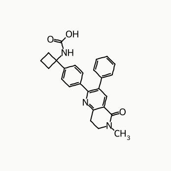 CN1CCc2nc(-c3ccc(C4(NC(=O)O)CCC4)cc3)c(-c3ccccc3)cc2C1=O